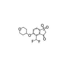 O=C1CS(=O)(=O)c2ccc(OC3CCOCC3)c(C(F)F)c21